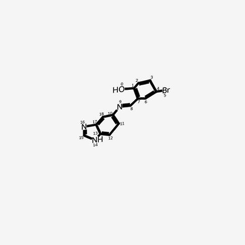 Oc1ccc(Br)cc1/C=N/c1ccc2[nH]cnc2c1